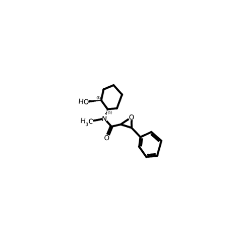 CN(C(=O)C1OC1c1ccccc1)[C@H]1CCCC[C@@H]1O